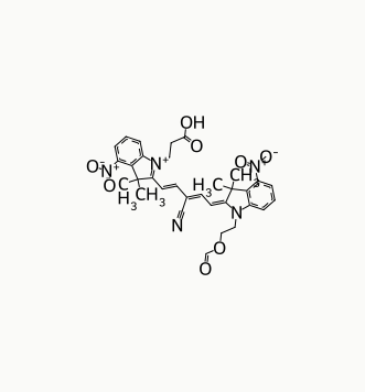 CC1(C)C(/C=C/C(C#N)=C/C=C2/N(CCOC=O)c3cccc([N+](=O)[O-])c3C2(C)C)=[N+](CCC(=O)O)c2cccc([N+](=O)[O-])c21